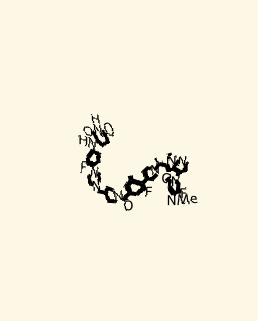 CNc1cc(=O)n(-c2ccnc3c2cc([C@H](C)N2CC=C(c4c(C)cc(C(=O)N5CCC(CN6CCN(c7ccc(NC8CCC(=O)NC8=O)cc7F)CC6)CC5)cc4F)CC2)n3C)cc1F